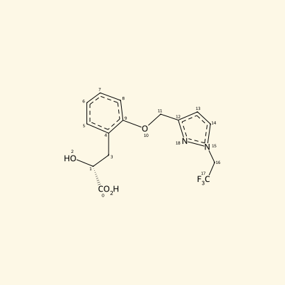 O=C(O)[C@H](O)Cc1ccccc1OCc1ccn(CC(F)(F)F)n1